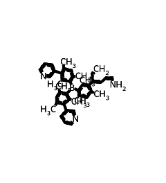 C=C/C(=C\C=C/N)c1c(C)cc(C)c(B(c2c(C)cc(C)c(-c3cccnc3)c2C)c2c(C)cc(C)c(-c3cccnc3)c2C)c1C